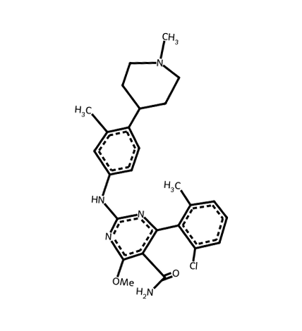 COc1nc(Nc2ccc(C3CCN(C)CC3)c(C)c2)nc(-c2c(C)cccc2Cl)c1C(N)=O